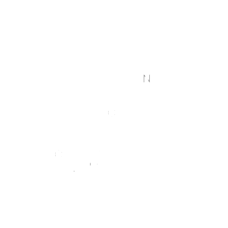 CCN(CC)CCOCC1COC(C)(C)OC1